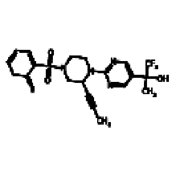 CC#C[C@H]1CN(S(=O)(=O)C2=CC=CCC2=S)CCN1c1ncc(C(C)(O)C(F)(F)F)cn1